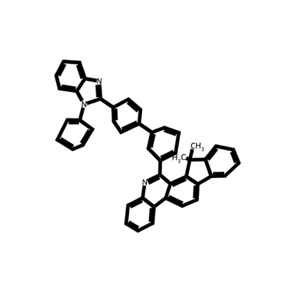 CC1(C)c2ccccc2-c2ccc3c(c(-c4cccc(-c5ccc(-c6nc7ccccc7n6-c6ccccc6)cc5)c4)nc4ccccc43)c21